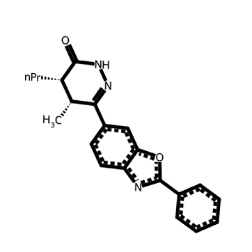 CCC[C@@H]1C(=O)NN=C(c2ccc3nc(-c4ccccc4)oc3c2)[C@@H]1C